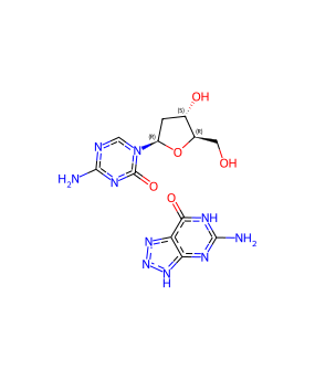 Nc1nc2[nH]nnc2c(=O)[nH]1.Nc1ncn([C@H]2C[C@H](O)[C@@H](CO)O2)c(=O)n1